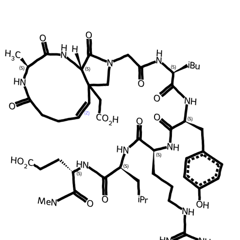 CCC(C)[C@H](NC(=O)CN1CC2(CC(=O)O)/C=C\CCC(=O)N[C@@H](C)C(=O)N[C@@H]2C1=O)C(=O)N[C@@H](Cc1ccc(O)cc1)C(=O)N[C@@H](CCCNC(=N)N)C(=O)N[C@@H](CC(C)C)C(=O)N[C@@H](CCC(=O)O)C(=O)NC